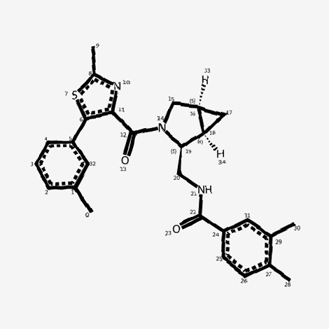 Cc1cccc(-c2sc(C)nc2C(=O)N2C[C@H]3C[C@H]3[C@H]2CNC(=O)c2ccc(C)c(C)c2)c1